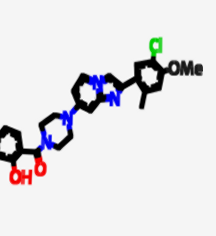 COc1cc(C)c(-c2cn3ccc(N4CCN(C(=O)c5ccccc5O)CC4)cc3n2)cc1Cl